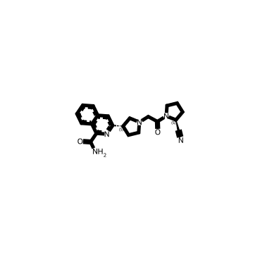 N#C[C@@H]1CCCN1C(=O)CN1CC[C@H](c2cc3ccccc3c(C(N)=O)n2)C1